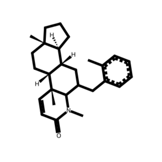 Cc1ccccc1CC1C[C@@H]2[C@@H](CC[C@]3(C)CCC[C@@H]23)[C@@]2(C)C=CC(=O)N(C)C12